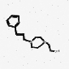 OCCN1CCN(C/C=C/c2ccccc2)CC1